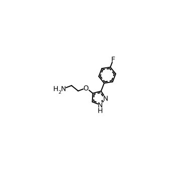 NCCOc1c[nH]nc1-c1ccc(F)cc1